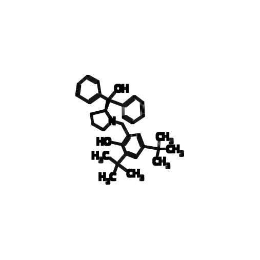 CC(C)(C)c1cc(CN2CCC[C@H]2C(O)(c2ccccc2)c2ccccc2)c(O)c(C(C)(C)C)c1